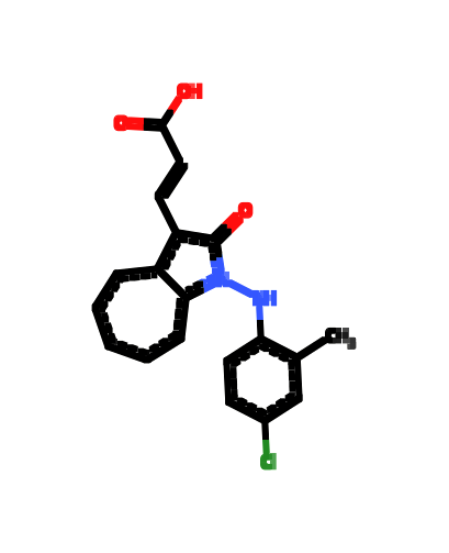 Cc1cc(Cl)ccc1Nn1c2cccccc-2c(C=CC(=O)O)c1=O